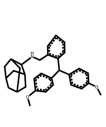 COc1ccc(C(c2ccc(OC)cc2)c2ccccc2CNC2C3CC4CC(C3)CC2C4)cc1